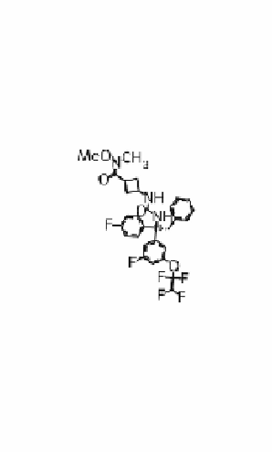 CON(C)C(=O)C1CC(NC(=O)N[C@](Cc2ccccc2)(c2ccc(F)cc2)c2cc(F)cc(OC(F)(F)C(F)F)c2)C1